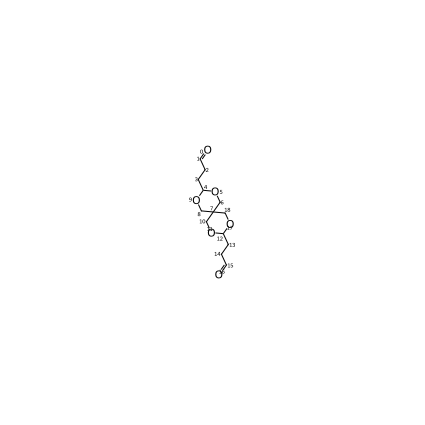 O=CCCC1OCC2(CO1)COC(CCC=O)OC2